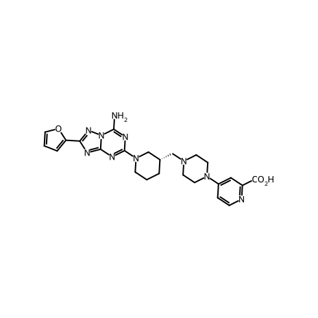 Nc1nc(N2CCC[C@@H](CN3CCN(c4ccnc(C(=O)O)c4)CC3)C2)nc2nc(-c3ccco3)nn12